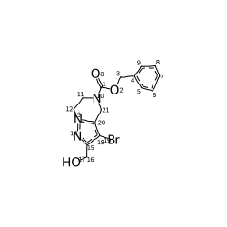 O=C(OCc1ccccc1)N1CCn2nc(CO)c(Br)c2C1